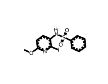 COc1ccc(NS(=O)(=O)c2ccccc2)c(I)n1